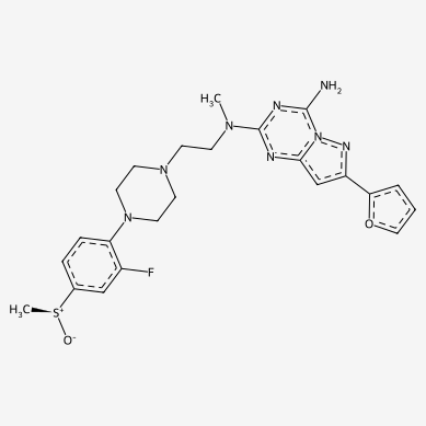 CN(CCN1CCN(c2ccc([S@+](C)[O-])cc2F)CC1)c1nc(N)n2nc(-c3ccco3)cc2n1